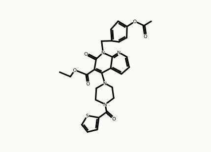 CCOC(=O)c1c(N2CCN(C(=O)c3cccs3)CC2)c2cccnc2n(Cc2ccc(OC(C)=O)cc2)c1=O